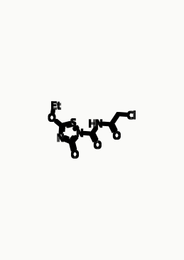 CCOc1nc(=O)n(C(=O)NC(=O)CCl)s1